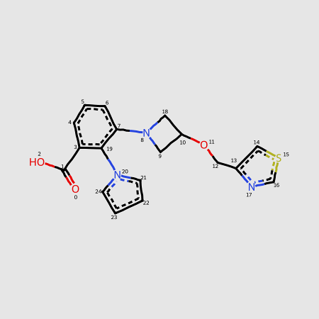 O=C(O)c1cccc(N2CC(OCc3cscn3)C2)c1-n1cccc1